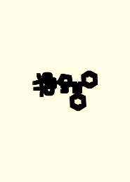 CC1(C)OB(c2ccc(N(c3ccccc3)c3ccccc3)s2)OC1(C)C